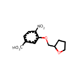 O=C(O)c1ccc([N+](=O)[O-])c(OCC2CCCO2)c1